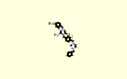 Cc1ccc(CN2CC(C)N(Cc3ccc(CN4CCN(Cc5ccccc5)CC4)cc3)C(C)C2)cc1